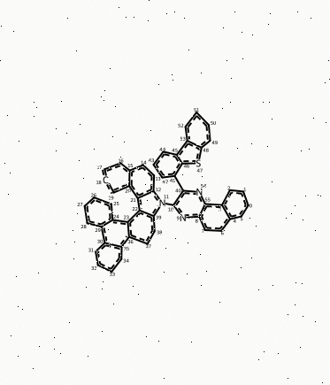 c1ccc2c(c1)ccc1nc(-n3c4ccc5ccccc5c4c4c5c6ccccc6c6ccccc6c5ccc43)c(-c3cccc4c3sc3ccccc34)nc12